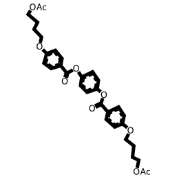 CC(=O)OCCCCOc1ccc(C(=O)Oc2ccc(OC(=O)c3ccc(OCCCCOC(C)=O)cc3)cc2)cc1